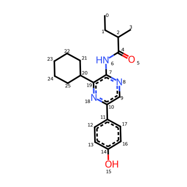 CCC(C)C(=O)Nc1ncc(-c2ccc(O)cc2)nc1C1CCCCC1